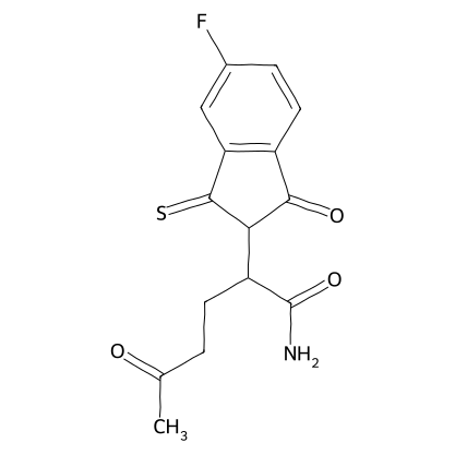 CC(=O)CCC(C(N)=O)C1C(=O)c2ccc(F)cc2C1=S